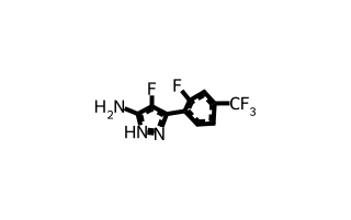 Nc1[nH]nc(-c2ccc(C(F)(F)F)cc2F)c1F